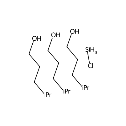 CC(C)CCCO.CC(C)CCCO.CC(C)CCCO.[SiH3]Cl